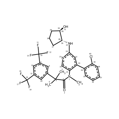 CN(C(=O)C(C)(C)c1cc(C(F)(F)F)cc(C(F)(F)F)c1)c1cnc(N[C@@H]2CCC[C@H]2O)cc1-c1ccccc1Cl